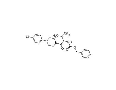 CC(C)C(NC(=O)OCc1ccccc1)C(=O)N1CCC(c2ccc(Cl)cc2)CC1